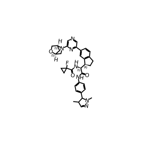 CC1C=NN(C)C1c1ccc(NC(=O)[C@@H](NC(=O)C2(F)CC2)[C@@H]2CCc3ccc(-c4cncc(N5C[C@@H]6C[C@H]5CO6)n4)cc32)cc1